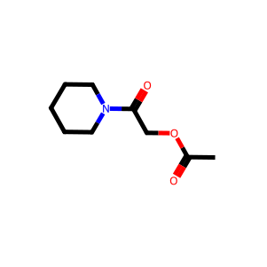 CC(=O)OCC(=O)N1CCCCC1